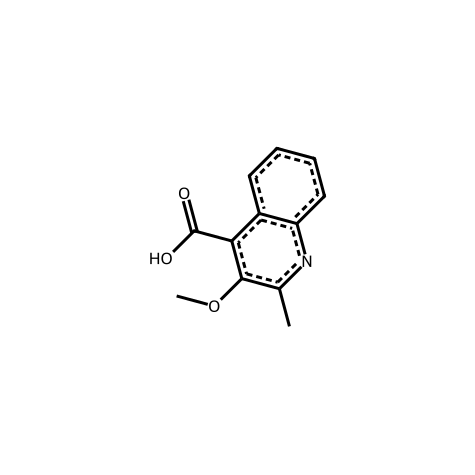 COc1c(C)nc2ccccc2c1C(=O)O